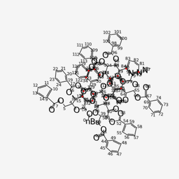 CCCCO[C@H]1OC(COC(=O)c2ccccc2)[C@@H](OC(=O)c2ccccc2)C(OC(=O)c2ccccc2)[C@H]1O[C@H]1OC(COC(=O)c2ccccc2)[C@@H](OC(=O)c2ccccc2)C(O[C@H]2OC(COC(=O)c3ccccc3)[C@@H](OC(=O)c3ccccc3)C(O[C@H]3OC(CN=[N+]=[N-])[C@@H](OC(=O)c4ccccc4)C(OC(=O)c4ccccc4)[C@H]3OC(=O)c3ccccc3)[C@H]2OC(=O)c2ccccc2)[C@H]1OC(=O)c1ccccc1